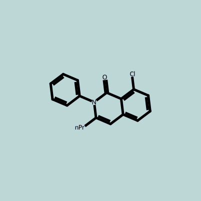 CCCc1cc2cccc(Cl)c2c(=O)n1-c1ccccc1